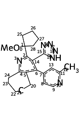 COC1(c2nc3c(c(-c4ccnc(C)c4)c2-c2nnn[nH]2)CCCCC3)CCCC1